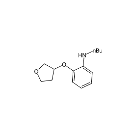 CCCCNc1ccccc1OC1CCOC1